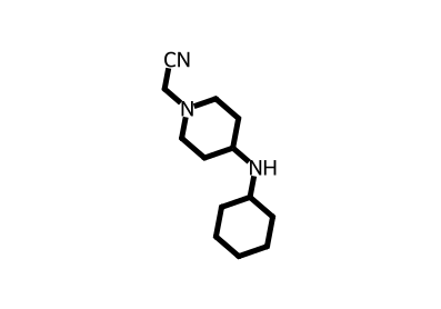 N#CCN1CCC(NC2CCCCC2)CC1